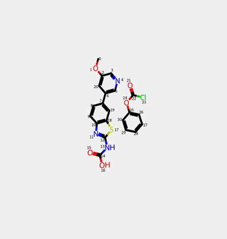 COc1cncc(-c2ccc3nc(NC(=O)O)sc3c2)c1.O=C(Cl)Oc1ccccc1